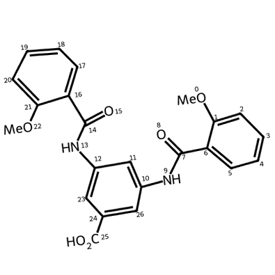 COc1ccccc1C(=O)Nc1cc(NC(=O)c2ccccc2OC)cc(C(=O)O)c1